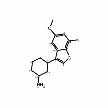 COc1cc(C)c2[nH]cc(C3CCCC(N)C3)c2c1